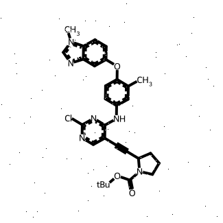 Cc1cc(Nc2nc(Cl)ncc2C#CC2CCCN2C(=O)OC(C)(C)C)ccc1Oc1ccc2c(c1)ncn2C